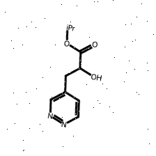 CC(C)OC(=O)C(O)Cc1ccnnc1